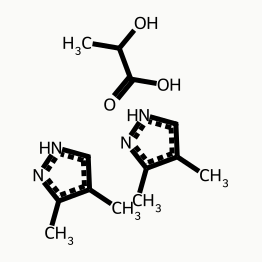 CC(O)C(=O)O.Cc1c[nH]nc1C.Cc1c[nH]nc1C